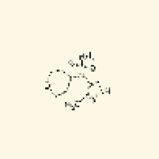 Cc1n[nH]cc1N(C1CCOCC1)S(N)(=O)=O